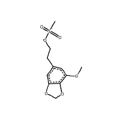 COc1cc(CCOS(C)(=O)=O)cc2c1OCO2